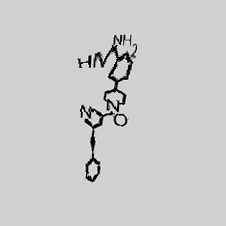 N=C(N)c1cccc(C2=CCN(C(=O)c3cncc(C#Cc4ccccc4)c3)CC2)c1